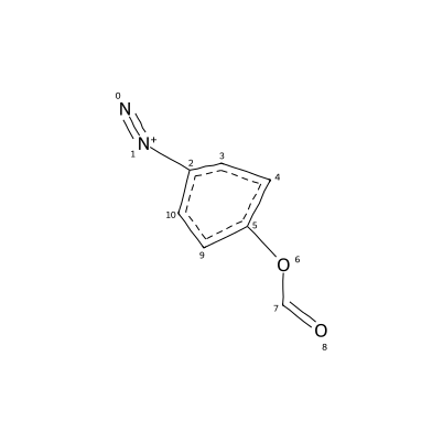 N#[N+]c1ccc(OC=O)cc1